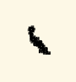 CCCCNC(=O)c1ccc(S(=O)(=O)NC(=O)c2ccc(COCc3ccccc3)nc2)cc1